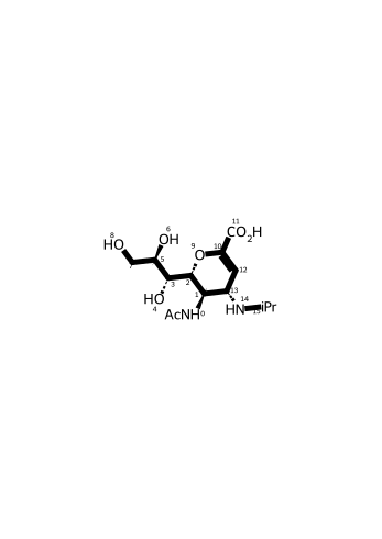 CC(=O)N[C@H]1[C@H]([C@H](O)[C@H](O)CO)OC(C(=O)O)=C[C@@H]1NC(C)C